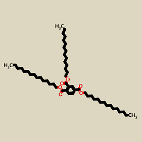 CCCCCCCCCCCCCCCOC(=O)c1ccc(C(=O)OCCCCCCCCCCCCCCC)c(C(=O)OCCCCCCCCCCCCCCC)c1